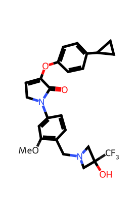 COc1cc(N2CC=C(Oc3ccc(C4CC4)cc3)C2=O)ccc1CN1CC(O)(C(F)(F)F)C1